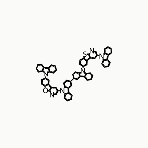 c1ccc2c(c1)c1ccccc1n2-c1ccc2oc3ncc(-n4c5ccccc5c5cc(-c6ccc7c(c6)c6ccccc6n7-c6ccc7sc8ncc(-n9c%10ccccc%10c%10ccccc%109)cc8c7c6)ccc54)cc3c2c1